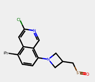 CC(C)c1ccc(N2CC(C[S+]=O)C2)c2cnc(Cl)cc12